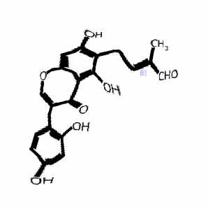 C/C(C=O)=C\Cc1c(O)cc2occ(-c3ccc(O)cc3O)c(=O)c2c1O